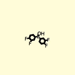 OB(c1ccc(F)c(F)c1)c1ccc(F)c(F)c1